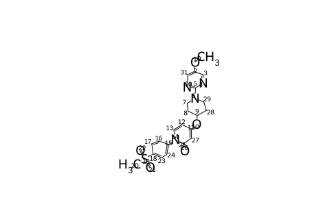 COc1cnc(N2CCC(Oc3ccn(-c4ccc(S(C)(=O)=O)cc4)c(=O)c3)CC2)nc1